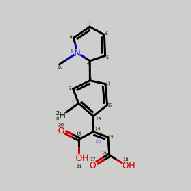 [2H]c1cc(C2C=CC=CN2C)ccc1/C(=C/C(=O)O)C(=O)O